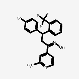 Cc1cc(/C(CC(c2ccc(Br)cc2)c2ccccc2C(F)(F)F)=N\O)ccn1